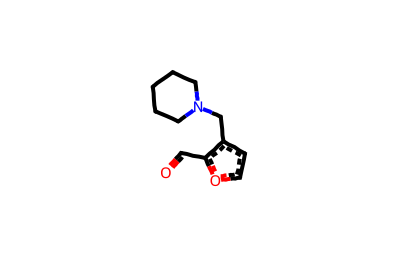 O=Cc1occc1CN1CCCCC1